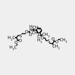 C=C(CSCCOC(=O)NC(C)(C)c1cccc(C(C)(C)OCCSCC(=C)C(=O)OCC)c1)C(=O)OCC